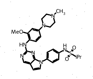 COc1cc(N2CCN(C)CC2)ccc1Nc1ncc2ccn(-c3ccc(NS(=O)(=O)C(C)C)cc3)c2n1